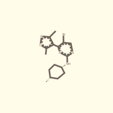 Cc1noc(C)c1-c1nc(N[C@H]2CC[C@@H](C)CC2)ncc1Br